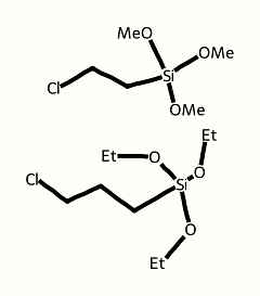 CCO[Si](CCCCl)(OCC)OCC.CO[Si](CCCl)(OC)OC